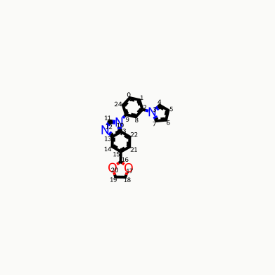 c1cc(-n2cccc2)cc(-n2cnc3cc(C4OCCO4)ccc32)c1